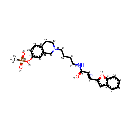 O=C(/C=C/c1cc2ccccc2o1)NCCCCN1CCc2ccc(OS(=O)(=O)C(F)(F)F)cc2C1